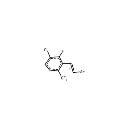 CC(=O)/C=C/c1c(C(F)(F)F)ccc(Cl)c1F